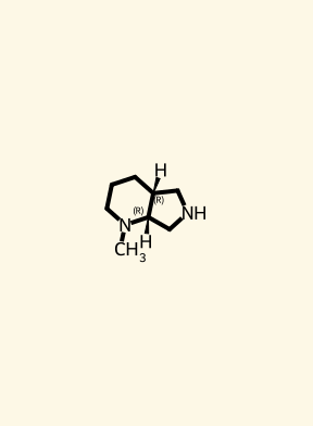 CN1CCC[C@@H]2CNC[C@@H]21